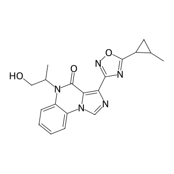 CC1CC1c1nc(-c2ncn3c2c(=O)n(C(C)CO)c2ccccc23)no1